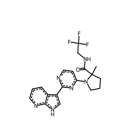 CC1(C(=O)NCC(F)(F)F)CCCN1c1ccnc(-c2c[nH]c3ncccc23)n1